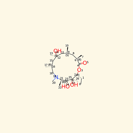 CC[C@H]1OC(=O)[C@H](C)C[C@H](C)C[C@](C)(O)C[C@@H](C)CN(C)[C@H](C)[C@@H](O)[C@]1(C)O